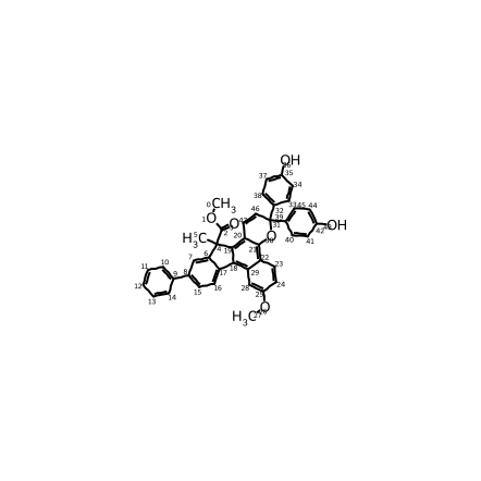 COC(=O)C1(C)c2cc(-c3ccccc3)ccc2-c2c1c1c(c3ccc(OC)cc23)OC(c2ccc(O)cc2)(c2ccc(O)cc2)C=C1